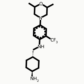 CC1CN(c2ccc(NC[C@H]3CC[C@H](N)CC3)c(C(F)(F)F)c2)CC(C)O1